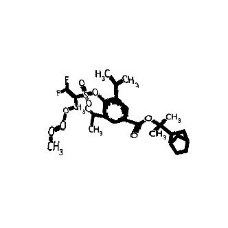 COOOSC(=C(F)F)S(=O)(=O)Oc1c(C(C)C)cc(C(=O)OC(C)(C)C2CC3CCC2C3)cc1C(C)C